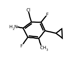 Cc1c(F)c(N)c(Cl)c(F)c1C1CC1